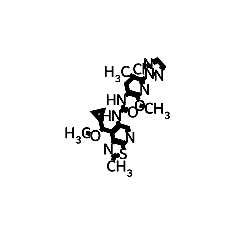 COC1=C(NC(=O)Nc2cnc3sc(C)nc3c2C(OC)C2CC2)CC(C)(Cl)C(n2nccn2)=N1